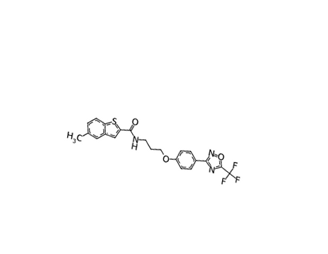 Cc1ccc2sc(C(=O)NCCCOc3ccc(-c4noc(C(F)(F)F)n4)cc3)cc2c1